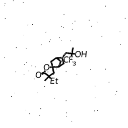 CCC1(C)CC2(CC3CC2CC3CC(C)(O)C(F)(F)F)OC1=O